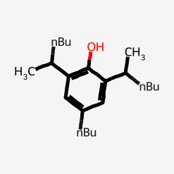 CCCCc1cc(C(C)CCCC)c(O)c(C(C)CCCC)c1